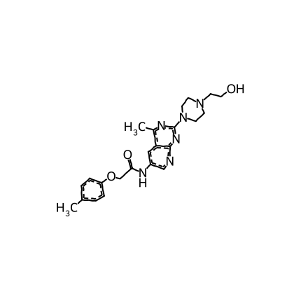 Cc1ccc(OCC(=O)Nc2cnc3nc(N4CCN(CCO)CC4)nc(C)c3c2)cc1